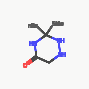 CCCCC1(SC)NNCC(=O)N1